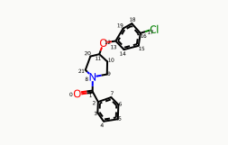 O=C(c1ccccc1)N1CCC(Oc2ccc(Cl)cc2)CC1